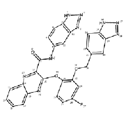 O=C(Nc1ccc2[nH]nnc2c1)c1nc2ccccc2nc1Oc1ccc(F)cc1OCc1ccc2[nH]nnc2c1